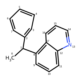 CC(c1ccccc1)c1cccc2ncccc12